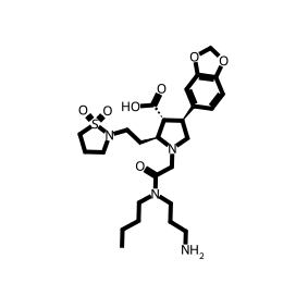 CCCCN(CCCN)C(=O)CN1C[C@H](c2ccc3c(c2)OCO3)[C@@H](C(=O)O)[C@@H]1CCN1CCCS1(=O)=O